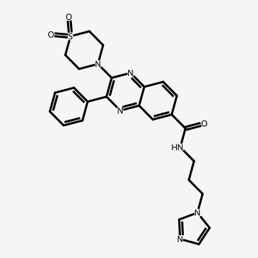 O=C(NCCCn1ccnc1)c1ccc2nc(N3CCS(=O)(=O)CC3)c(-c3ccccc3)nc2c1